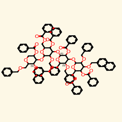 O=C(OCC1OC(OC2C(OC(=O)c3ccccc3)[C@H](OC3C(OC(=O)c4ccccc4)C(COC(=O)c4ccccc4)OC(OC4C(OC(=O)c5ccccc5)COC(COCc5ccccc5)[C@@H]4OCc4ccccc4)C3OCc3ccccc3)OC(COCc3ccccc3)[C@@H]2OCc2ccccc2)C(OCc2ccccc2)C(OCc2ccc3ccccc3c2)C1OC(=O)c1ccccc1)c1ccccc1